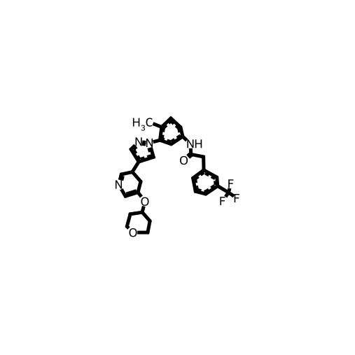 Cc1ccc(NC(=O)Cc2cccc(C(F)(F)F)c2)cc1-n1cc(C2C=NC=C(OC3CCOCC3)C2)cn1